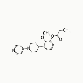 CCC(=O)Oc1cccc(C2CCN(c3ccncc3)CC2)c1OC